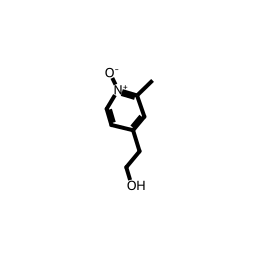 Cc1cc(CCO)cc[n+]1[O-]